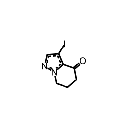 O=C1CCCn2ncc(I)c21